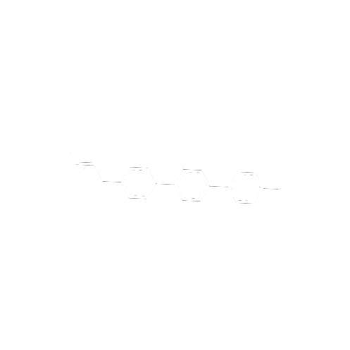 C/C=C/Cc1ccc(-c2ccc(-c3ccc(C)cc3)cc2F)cc1